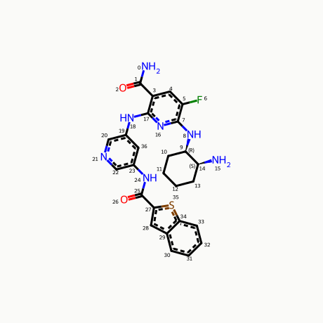 NC(=O)c1cc(F)c(N[C@@H]2CCCC[C@@H]2N)nc1Nc1cncc(NC(=O)c2cc3ccccc3s2)c1